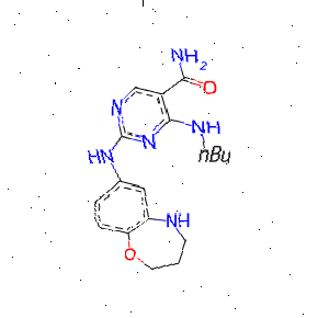 CCCCNc1nc(Nc2ccc3c(c2)NCCCO3)ncc1C(N)=O